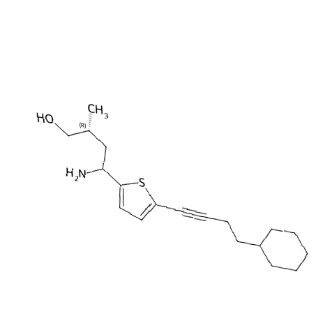 C[C@@H](CO)CC(N)c1ccc(C#CCCC2CCCCC2)s1